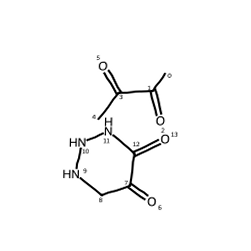 CC(=O)C(C)=O.O=C1CNNNC1=O